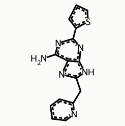 Nc1nc(-c2cccs2)nc2[nH]c(Cc3ccccn3)nc12